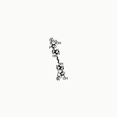 O=[PH](S)O[C@H]1[C@@H](F)[C@H](n2cnc3c(NC/C=C/CNc4ncnc5c4ncn5[C@@H]4O[C@H](CO)[C@@H](O[PH](=O)I)[C@H]4F)ncnc32)O[C@@H]1CO